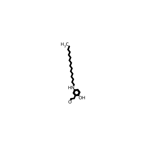 CCCCCCCCCCCCCCCCNc1ccc(O)c(CC=O)c1